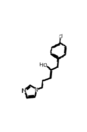 OC(CCCn1ccnc1)Cc1ccc(Cl)cc1